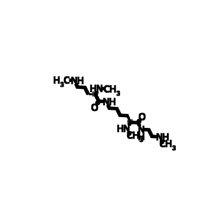 CNCCC[C@H](NC)C(=O)NCCCC[C@H](NC)C(=O)NCCNC